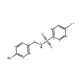 N#Cc1ccc(CNS(=O)(=O)c2ccc(F)cc2)cc1